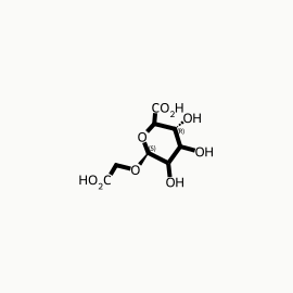 O=C(O)CO[C@H]1OC(C(=O)O)[C@H](O)C(O)C1O